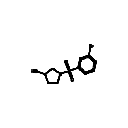 O=S(=O)(c1cccc(Br)c1)N1CCC(O)C1